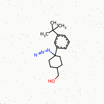 CC(C)(C)c1cccc(C2(N=[N+]=[N-])CCC(CO)CC2)c1